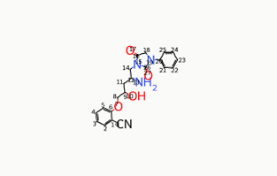 N#Cc1ccccc1OCC(O)CC(N)CN1C(=O)CN(c2ccccc2)C1=O